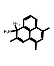 CC1=Cc2c(C)cc(C)c3cccc(c23)C1(N)N